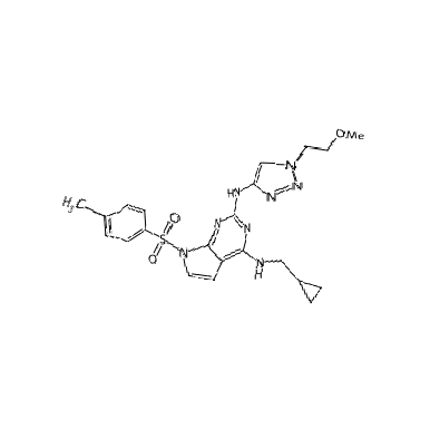 COCCn1cc(Nc2nc(NCC3CC3)c3ccn(S(=O)(=O)c4ccc(C)cc4)c3n2)nn1